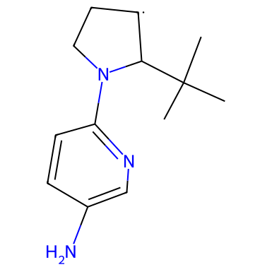 CC(C)(C)C1[CH]CCN1c1ccc(N)cn1